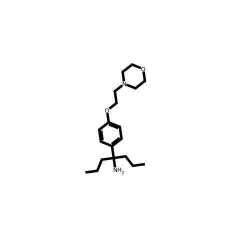 CCCC(N)(CCC)c1ccc(OCCN2CCOCC2)cc1